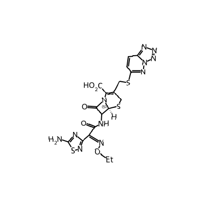 CCON=C(C(=O)NC1C(=O)N2C(C(=O)O)=C(CSc3ccc4nnnn4n3)CS[C@@H]12)c1nsc(N)n1